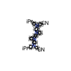 CC(C)c1ccc(N(c2ccc(C#N)cc2)c2ccc3c(c2)c2cccc4c5cc6c(cc5n3c24)c2cccc3c4cc(N(c5ccc(C#N)cc5)c5ccc(C(C)C)cc5)ccc4n6c32)cc1